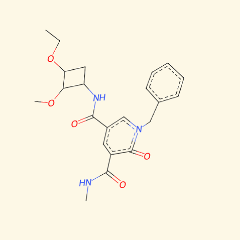 CCOC1CC(NC(=O)c2cc(C(=O)NC)c(=O)n(Cc3ccccc3)c2)C1OC